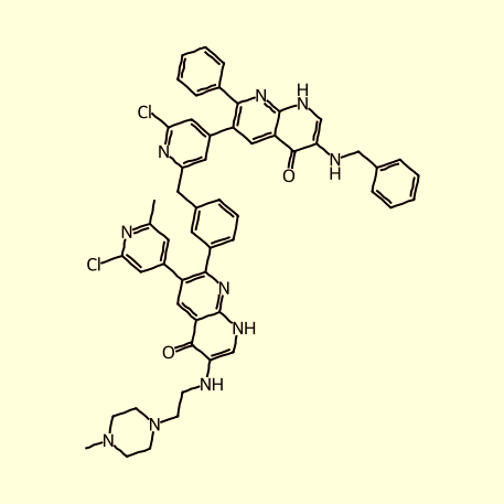 Cc1cc(-c2cc3c(=O)c(NCCN4CCN(C)CC4)c[nH]c3nc2-c2cccc(Cc3cc(-c4cc5c(=O)c(NCc6ccccc6)c[nH]c5nc4-c4ccccc4)cc(Cl)n3)c2)cc(Cl)n1